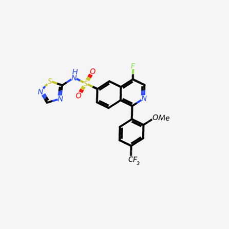 COc1cc(C(F)(F)F)ccc1-c1ncc(F)c2cc(S(=O)(=O)Nc3ncns3)ccc12